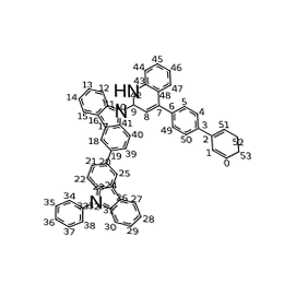 C1=CC(c2ccc(C3=CC(n4c5ccccc5c5cc(-c6ccc7c(c6)c6ccccc6n7-c6ccccc6)ccc54)Nc4ccccc43)cc2)=CCC1